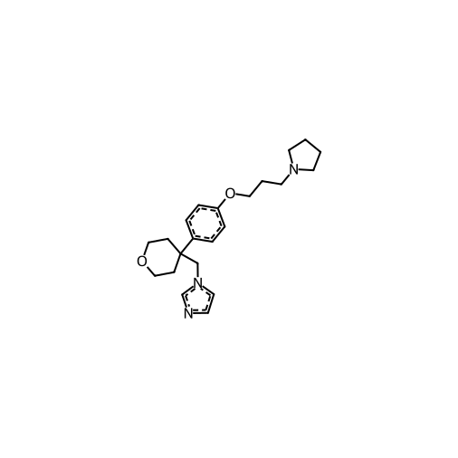 c1cn(CC2(c3ccc(OCCCN4CCCC4)cc3)CCOCC2)cn1